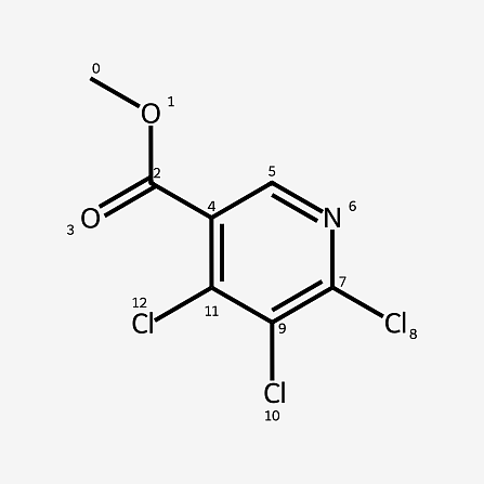 COC(=O)c1cnc(Cl)c(Cl)c1Cl